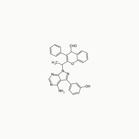 CC(C1=C(c2ccccc2)C(C=O)c2ccccc2O1)n1nc(-c2cccc(O)c2)c2c(N)ncnc21